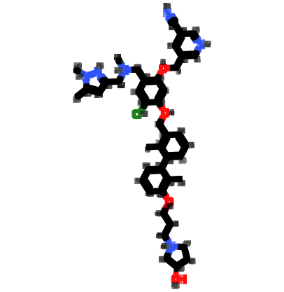 Cc1c(COc2cc(OCc3cncc(C#N)c3)c(CN(C)Cc3cc(C)n(C)n3)cc2Cl)cccc1-c1cccc(OCCCN2CC[C@@H](O)C2)c1C